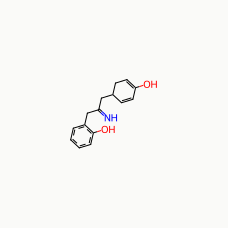 N=C(Cc1ccccc1O)CC1C=CC(O)=CC1